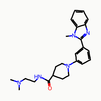 CN(C)CCNC(=O)C1CCN(c2cccc(-c3nc4ccccc4n3C)c2)CC1